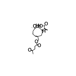 C=C1C(=O)O[C@H]2[C@H]1CC/C(COC(=O)CCC(C)=O)=C\CC[C@@]1(C)O[C@@H]21